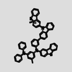 Cc1cc(N(c2ccccc2)c2ccccc2)cc(N(c2cccc(-c3ccc4c5ccccc5n(C5=CC[C@]6(C)Sc7ccccc7C6=C5)c4c3)c2)c2ccc3sc4ccccc4c3c2)c1